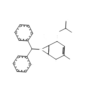 CCC(CC)O[C@@H]1C=C(C(=O)O)C[C@@H]2[C@H]1N2C(c1ccccc1)c1ccccc1